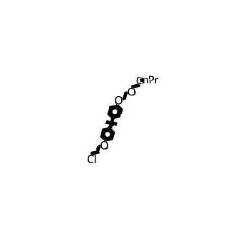 CCCOCCOCCOc1ccc(C(C)(C)c2ccc(OCCCCl)cc2)cc1